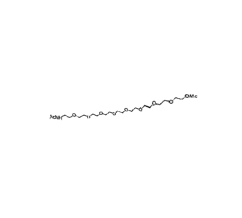 COCCOCCOCCOCCOCCOCCOCCOCCOCCNC(C)=O